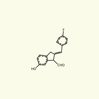 O=CC1/C(=C/c2ccc(F)cc2)Cc2ccc(O)cc21